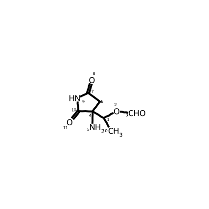 CC(OC=O)C1(N)CC(=O)NC1=O